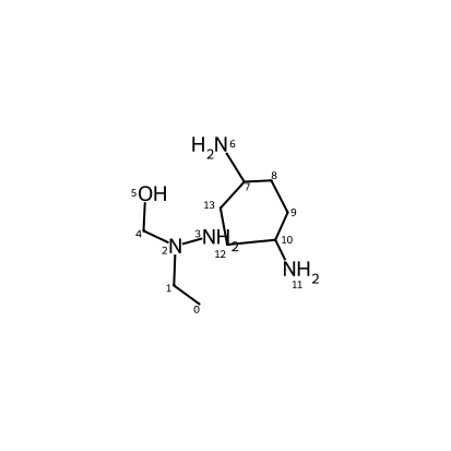 CCN(N)CO.NC1CCC(N)CC1